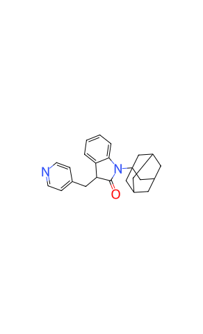 O=C1C(Cc2ccncc2)c2ccccc2N1C12CC3CC(CC(C3)C1)C2